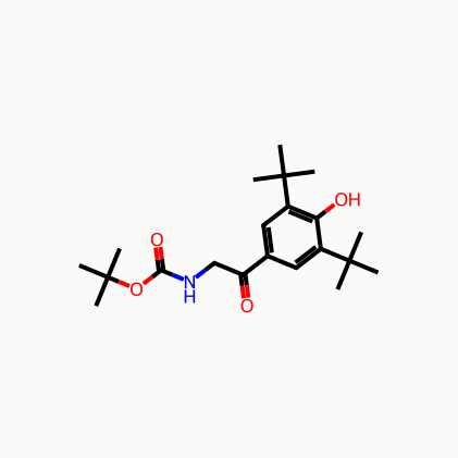 CC(C)(C)OC(=O)NCC(=O)c1cc(C(C)(C)C)c(O)c(C(C)(C)C)c1